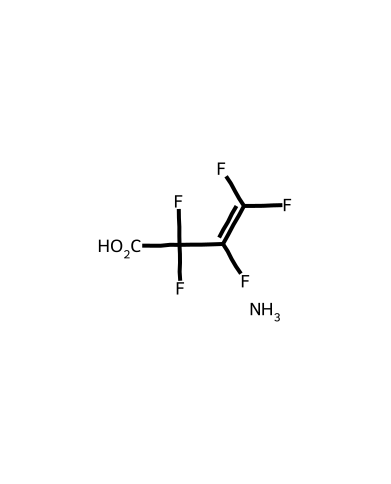 N.O=C(O)C(F)(F)C(F)=C(F)F